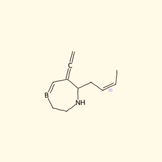 C=C=C1C=BCCNC1C/C=C\C